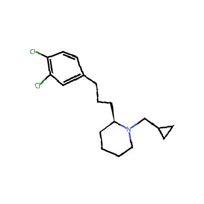 Clc1ccc(CCC[C@@H]2CCCCN2CC2CC2)cc1Cl